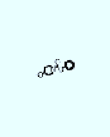 [O]C1CCN(C(=O)Oc2ccccc2)CC1